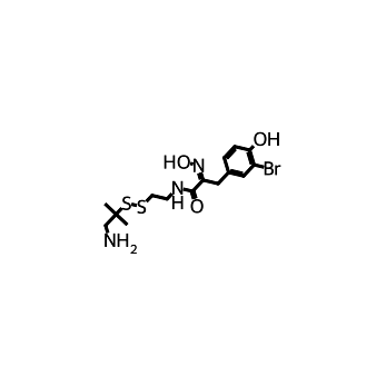 CC(C)(CN)SSCCNC(=O)C(Cc1ccc(O)c(Br)c1)=NO